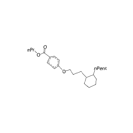 CCCCCC1CCCCC1CCCOc1ccc(C(=O)OCCC)cc1